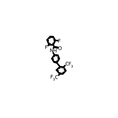 O=C(Nc1ccc(-c2cc(C(F)(F)F)ccc2C(F)(F)F)cc1)c1c(F)cccc1F